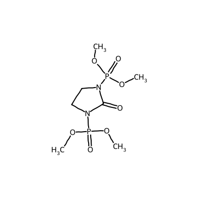 COP(=O)(OC)N1CCN(P(=O)(OC)OC)C1=O